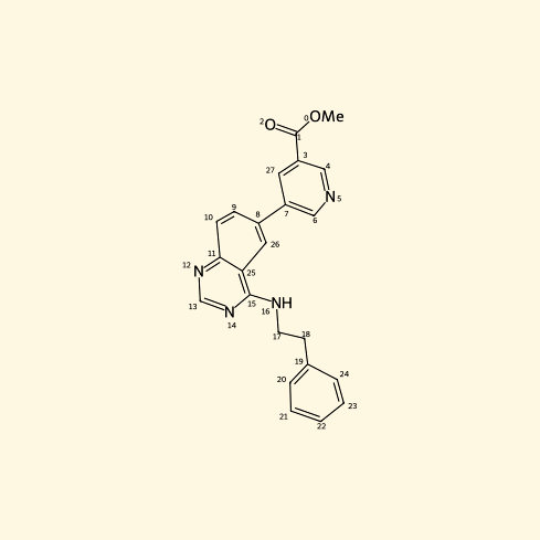 COC(=O)c1cncc(-c2ccc3ncnc(NCCc4ccccc4)c3c2)c1